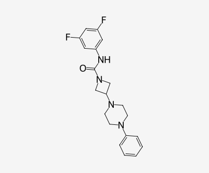 O=C(Nc1cc(F)cc(F)c1)N1CC(N2CCN(c3ccccc3)CC2)C1